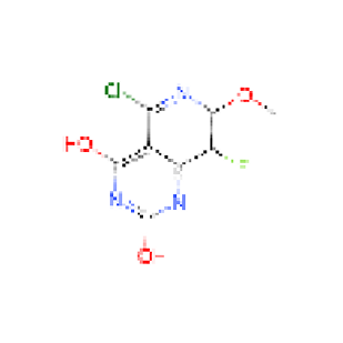 COc1nc(Cl)c2c(O)nc(O)nc2c1F